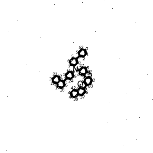 c1ccc(-c2cccc(N(c3ccc(-c4cccc5ccccc45)cc3)c3ccc4sc5ccc6c7ccc8ccccc8c7oc6c5c4c3)c2)cc1